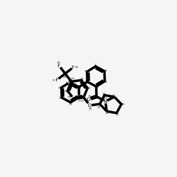 O=C(c1ccccc1-c1ncccn1)N1C2CCC1C(Oc1ccc(C(F)(F)F)cn1)C2